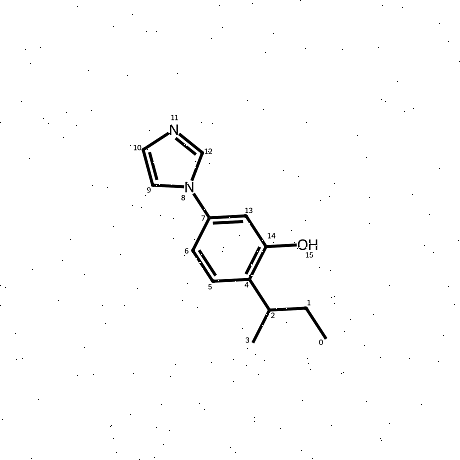 CCC(C)c1ccc(-n2ccnc2)cc1O